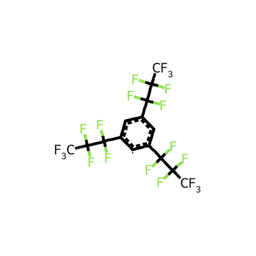 FC(F)(F)C(F)(F)C(F)(F)c1[c]c(C(F)(F)C(F)(F)C(F)(F)F)cc(C(F)(F)C(F)(F)C(F)(F)F)c1